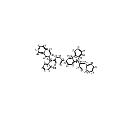 c1ccc2c(c1)Sc1cc(-c3ccc4c(c3)c3ccccc3n4-c3ccc4ccccc4c3)ccc1N2c1ccc2ccccc2c1